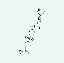 O=C(Nc1ccc(S(=O)(=O)C2CCN(C(=O)C3CC3)CC2)cc1)C1CN(c2cccnn2)C1